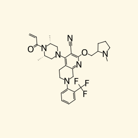 C=CC(=O)N1[C@H](C)CN(c2c(C#N)c(OCC3CCCN3C)nc3c2CCN(c2ccccc2C(F)(F)F)C3)C[C@@H]1C